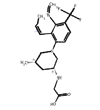 C=Nc1c(C(F)(F)F)ccc(N2C[C@@H](C)C[C@@H](NCC(=O)O)C2)c1/C=C\C